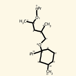 CCCOC(C)CC(C)COC1(C(C)C)CCCC(C)C1